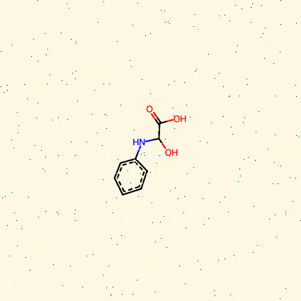 O=C(O)C(O)Nc1ccccc1